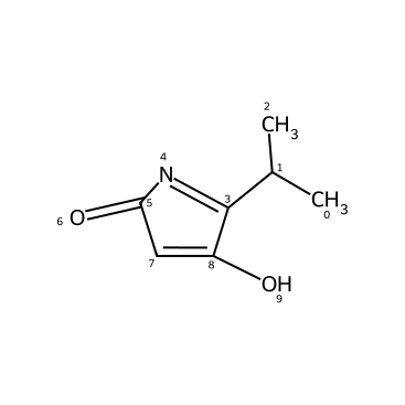 CC(C)C1=NC(=O)C=C1O